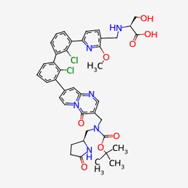 COc1nc(-c2cccc(-c3cccc(-c4ccn5c(=O)c(CN(C[C@@H]6CCC(=O)N6)C(=O)OC(C)(C)C)cnc5c4)c3Cl)c2Cl)ccc1CN[C@@H](CO)C(=O)O